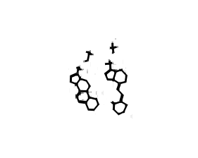 C=C1/C(=C\C=C2/CCC[C@]3(C)C(C(C)(C)OCC(C)(O)CC)=CC[C@@H]23)C[C@@H](O)C[C@@H]1O.CCC(O)(CC)COC(C)(C)C1=CC[C@H]2C3=CC=C4C[C@@H](O)C[C@H](O)[C@]4(C)[C@H]3CC[C@]12C